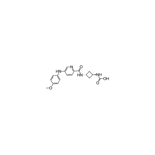 COc1ccc(Nc2ccc(C(=O)N[C@H]3C[C@H](NC(=O)O)C3)nc2)cc1